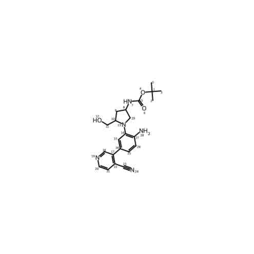 CC(C)(C)OC(=O)NC1CC(CO)N(c2cc(-c3cnccc3C#N)ccc2N)C1